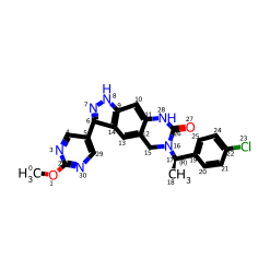 COc1ncc(-c2n[nH]c3cc4c(cc23)CN([C@H](C)c2ccc(Cl)cc2)C(=O)N4)cn1